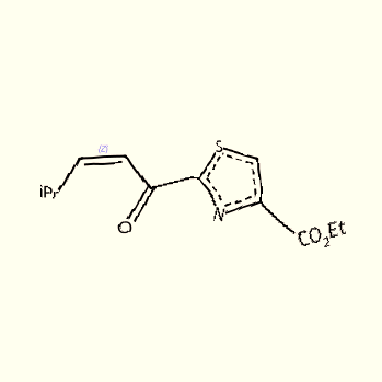 CCOC(=O)c1csc(C(=O)/C=C\C(C)C)n1